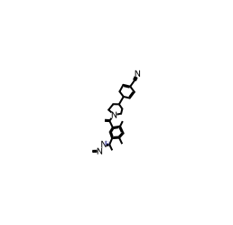 C=N/N=C(\C)c1cc(C(=C)N2CCC(C3C=CC(C#N)=CC3)CC2)c(C)cc1C